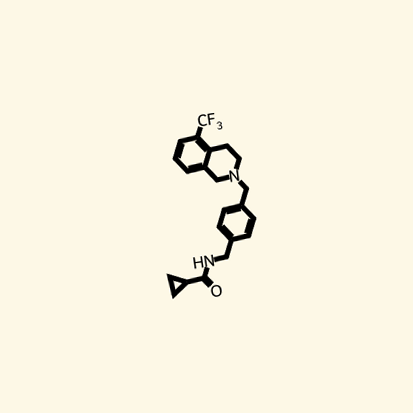 O=C(NCc1ccc(CN2CCc3c(cccc3C(F)(F)F)C2)cc1)C1CC1